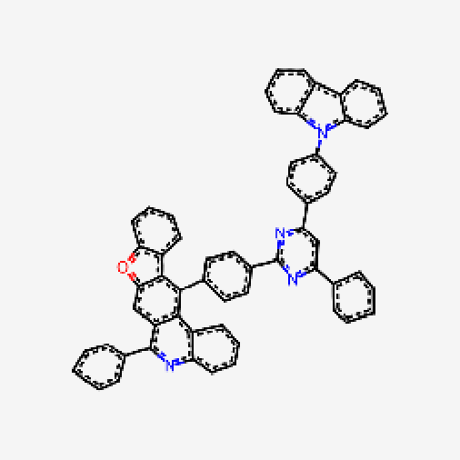 c1ccc(-c2cc(-c3ccc(-n4c5ccccc5c5ccccc54)cc3)nc(-c3ccc(-c4c5c(cc6c(-c7ccccc7)nc7ccccc7c46)oc4ccccc45)cc3)n2)cc1